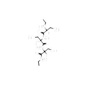 CCNC(=O)C(F)(CS)NC(=O)[C@](F)(CS)NC(=O)[C@](F)(CS)NCC